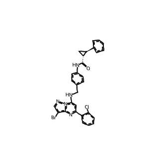 O=C(Nc1ccc(CNc2cc(-c3ccccc3Cl)nc3c(Br)cnn23)cc1)[C@@H]1C[C@H]1c1ccccc1